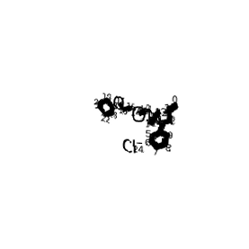 C=CCC(c1ccccc1)[N+](C)(C)COCCOc1ccccc1.[Cl-]